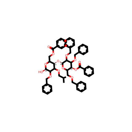 CC(C)COC1C(OCc2ccccc2)[C@@H](O)OC(COC(=O)c2ccccc2)[C@@H]1O[C@H]1OC(COCc2ccccc2)[C@H](OC(=O)c2ccccc2)C(OCc2ccccc2)C1OCc1ccccc1